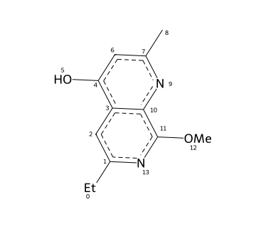 CCc1cc2c(O)cc(C)nc2c(OC)n1